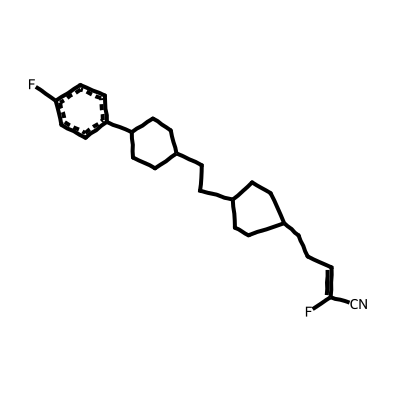 N#CC(F)=CCCC1CCC(CCC2CCC(c3ccc(F)cc3)CC2)CC1